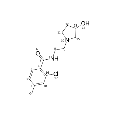 Cc1ccc(C(=O)NCCN2CCC(O)C2)c(Cl)c1